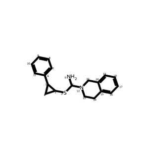 NC(SC1CC1c1ccccc1)N1CCc2ccccc2C1